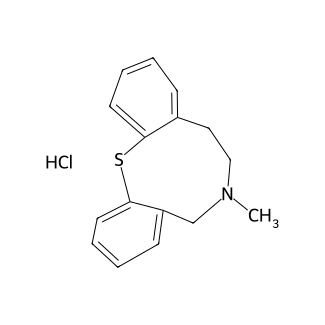 CN1CCc2ccccc2Sc2ccccc2C1.Cl